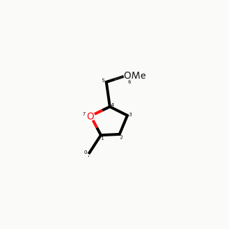 [CH2]C1CCC(COC)O1